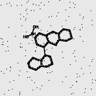 OBO.c1ccc2cc3c(-c4cccc5ccccc45)cccc3cc2c1